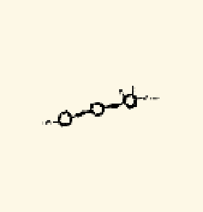 CCCCCc1ccc(C#Cc2ccc(C#Cc3ccc(CCC)cc3)cc2)c(F)c1F